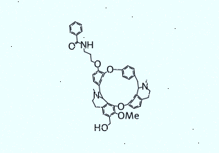 COc1c(CO)cc2c3c1Oc1ccc4c(c1)C(Cc1ccc(cc1)Oc1cc(ccc1OCCCNC(=O)c1ccccc1)CC3N(C)CC2)N(C)CC4